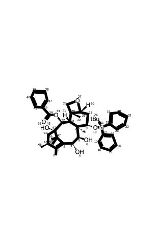 CC1=C2[C@@H](O)[C@H](O)[C@]3(C)[C@@H](O[Si](c4ccccc4)(c4ccccc4)C(C)(C)C)C[C@H]4OC[C@@]4(C)[C@H]3[C@H](OC(=O)c3ccccc3)[C@](O)(C[C@@H]1C)C2(C)C